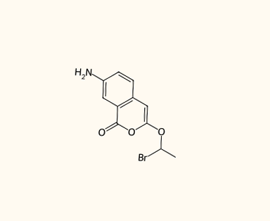 CC(Br)Oc1cc2ccc(N)cc2c(=O)o1